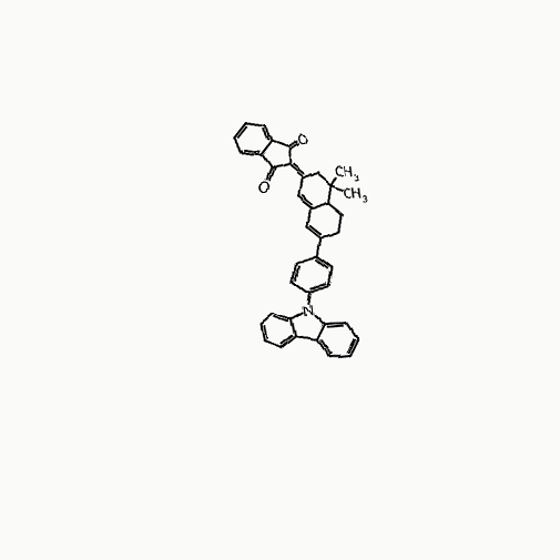 CC1(C)CC(=C2C(=O)c3ccccc3C2=O)C=C2C=C(c3ccc(-n4c5ccccc5c5ccccc54)cc3)CCC21